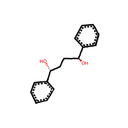 O[C@H](CC[C@H](O)c1ccccc1)c1ccccc1